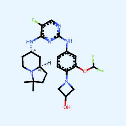 CC1(C)CC[C@@H]2C[C@@H](Nc3nc(Nc4ccc(N5CC(O)C5)c(OC(F)F)c4)ncc3F)CCN21